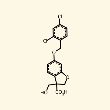 O=C(O)C1(CO)COc2cc(OCc3ccc(Cl)cc3Cl)ccc21